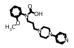 COc1ccccc1N(CCCN1CCN(c2ccncc2)CC1)C(=O)O